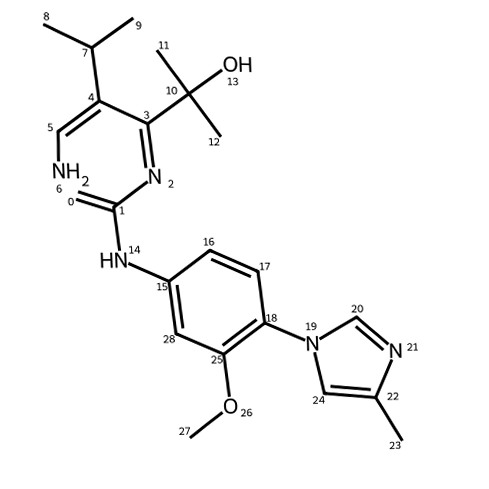 C=C(/N=C(\C(=C/N)C(C)C)C(C)(C)O)Nc1ccc(-n2cnc(C)c2)c(OC)c1